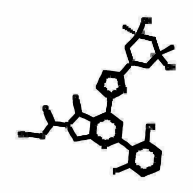 CC(C)(C)OC(=O)N1Cc2nc(-c3c(F)cccc3C#N)cc(-n3ccc(N4C[C@@](C)(O)C[C@](C)(O)C4)n3)c2C1=O